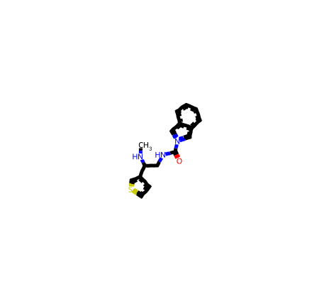 CNC(CNC(=O)n1cc2ccccc2c1)c1ccsc1